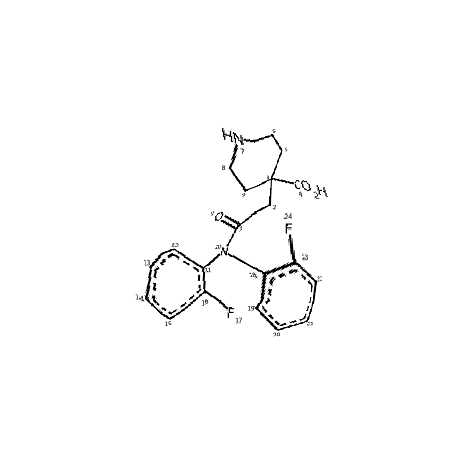 O=C(CC1(C(=O)O)CCNCC1)N(c1ccccc1F)c1ccccc1F